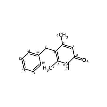 Cc1cc(=O)[nH]c(C)c1Cc1ccccc1